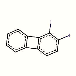 Ic1ccc2c(c1I)-c1ccccc1-2